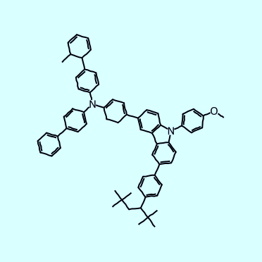 COc1ccc(-n2c3ccc(C4=CC=C(N(c5ccc(-c6ccccc6)cc5)c5ccc(C6C=CC=CC6C)cc5)CC4)cc3c3cc(-c4ccc(C(CC(C)(C)C)C(C)(C)C)cc4)ccc32)cc1